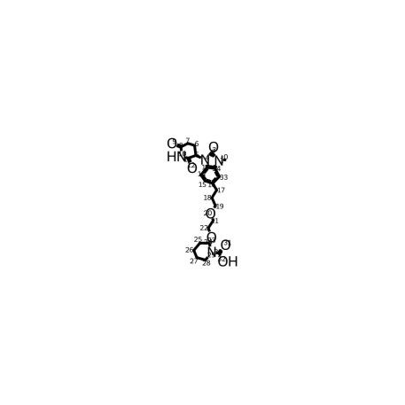 Cn1c(=O)n(C2CCC(=O)NC2=O)c2ccc(CCCOCCOC3CCCCN3C(=O)O)cc21